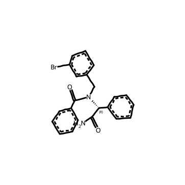 NC(=O)[C@@H](c1ccccc1)N(Cc1cccc(Br)c1)C(=O)c1ccccc1